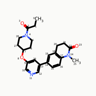 CCC(=O)N1CCC(Oc2cncc(-c3ccc4c(c3)CCC(=O)N4C)c2)CC1